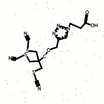 N#CSCC(COCc1cn(CCC(=O)O)nn1)(CSC#N)CSC#N